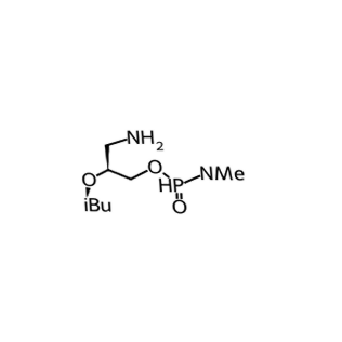 CC[C@H](C)O[C@@H](CN)CO[PH](=O)NC